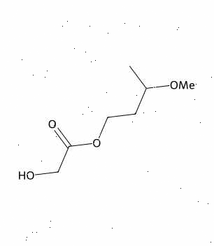 COC(C)CCOC(=O)CO